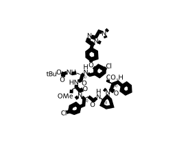 COC[C@H](NC(=O)[C@H](CCNC(=O)OC(C)(C)C)NCc1ccc(Cl)cc1Oc1ccc(-c2cnc(CN(C)C)n2C)cc1)C(=O)N(C)[C@H](CC(=O)N[C@H]1CCCC[C@@H]1N(C)C(=O)[C@@H](CC(=O)O)Cc1ccccc1)Cc1ccc(Cl)cc1